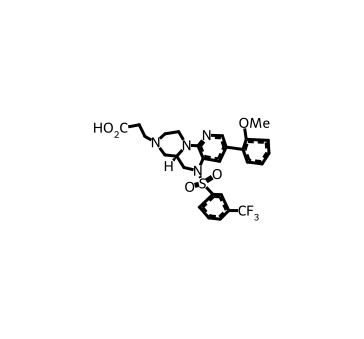 COc1ccccc1-c1cnc2c(c1)N(S(=O)(=O)c1cccc(C(F)(F)F)c1)C[C@@H]1CN(CCC(=O)O)CCN21